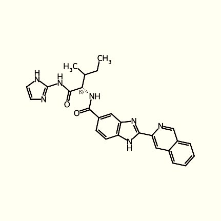 CCC(C)[C@H](NC(=O)c1ccc2[nH]c(-c3cc4ccccc4cn3)nc2c1)C(=O)Nc1ncc[nH]1